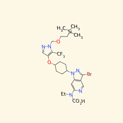 CCN(C(=O)O)c1cc2c(cn1)c(Br)nn2C1CCC(Oc2cnn(COCC[Si](C)(C)C)c2C(F)(F)F)CC1